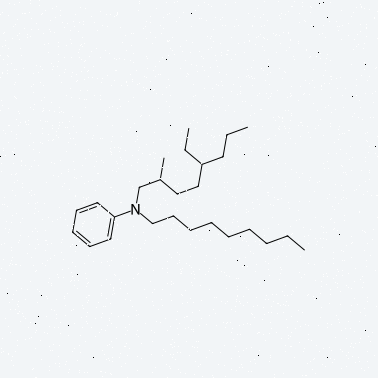 CCCCCCCCCN(CC(C)CCC(CC)CCC)c1ccccc1